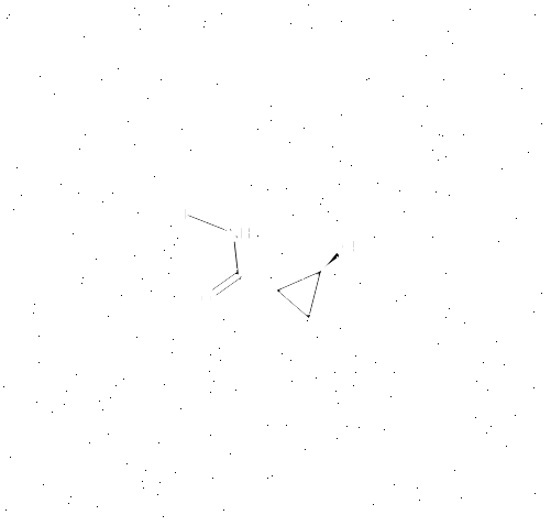 O=C(NI)[C@H]1C[C@@H]1C(F)(F)F